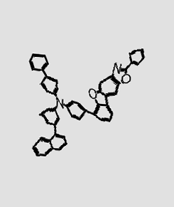 c1ccc(-c2ccc(N(c3ccc(-c4cccc5c4oc4cc6nc(-c7ccccc7)oc6cc45)cc3)c3cccc(-c4cccc5ccccc45)c3)cc2)cc1